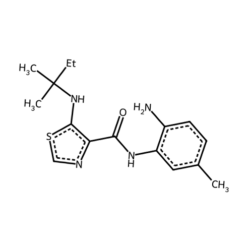 CCC(C)(C)Nc1scnc1C(=O)Nc1cc(C)ccc1N